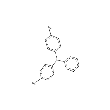 CC(=O)c1ccc(N(c2ccccc2)c2ccc(C(C)=O)cc2)cc1